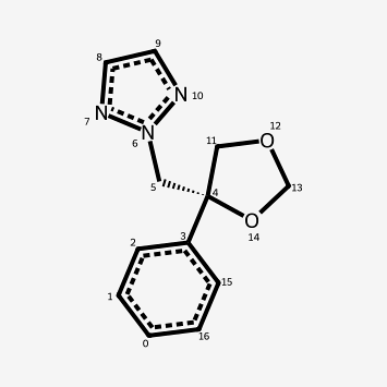 c1ccc([C@@]2(Cn3nccn3)COCO2)cc1